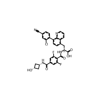 N#Cc1ccc(-c2ccc(C[C@H](NC(=O)c3c(F)cc(C(=O)N[C@H]4C[C@@H](O)C4)cc3F)C(=O)O)c3cccnc23)c(Cl)c1